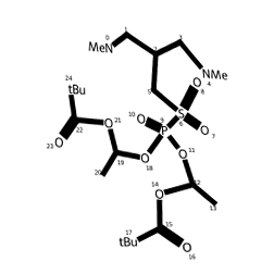 CNCC(CNC)CS(=O)(=O)P(=O)(OC(C)OC(=O)C(C)(C)C)OC(C)OC(=O)C(C)(C)C